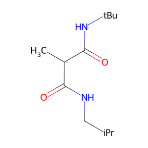 C[C](C(=O)NCC(C)C)C(=O)NC(C)(C)C